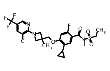 CCS(=O)(=O)NC(=O)c1cc(C2CC2)c(OCC2(C)CN(c3ncc(C(F)(F)F)cc3Cl)C2)cc1F